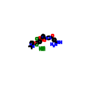 Cc1nc2c(OCc3c(Cl)ccc(S(=O)(=O)N4CCC[C@H]4C(=O)N4CCN(C(=O)c5ccc(C(=N)N)cc5)CC4)c3Cl)cccn2c1C.Cl.Cl